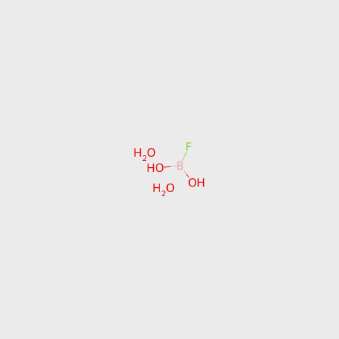 O.O.OB(O)F